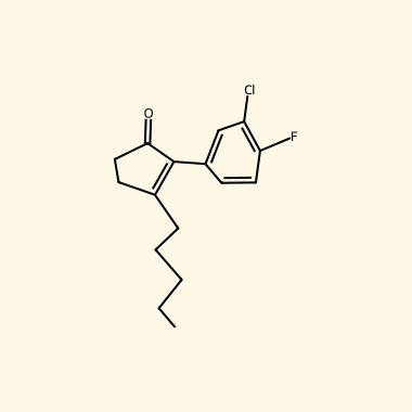 CCCCCC1=C(c2ccc(F)c(Cl)c2)C(=O)CC1